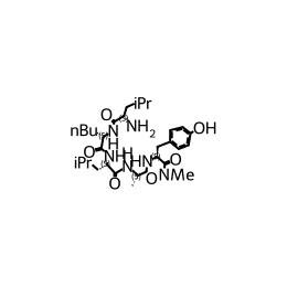 CCCC[C@H](NC(=O)[C@@H](N)CC(C)C)C(=O)N[C@@H](CC(C)C)C(=O)N[C@@H](C)C(=O)N[C@@H](Cc1ccc(O)cc1)C(=O)NC